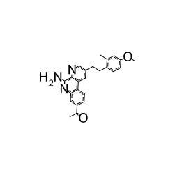 COc1ccc(CCc2cnc3c(N)nc4cc(C(C)=O)ccc4c3c2)c(C)c1